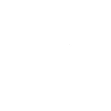 BC1(CC)c2ccnc(-c3ccccc3)c2C2(B)CC12C